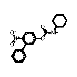 O=C(NC1CCCCC1)Oc1ccc([N+](=O)[O-])c(-c2ccccc2)c1